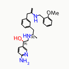 C=C(Cc1cccc(C[C@@H](C)NC[C@H](O)c2ccc(N)nc2)c1)NCc1ccccc1OC